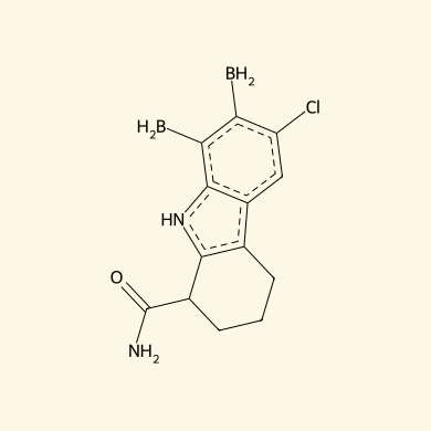 Bc1c(Cl)cc2c3c([nH]c2c1B)C(C(N)=O)CCC3